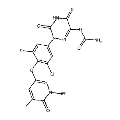 Cc1cc(Oc2c(Cl)cc(-n3nc(OC(N)=O)c(=O)[nH]c3=O)cc2Cl)cn(C(C)C)c1=O